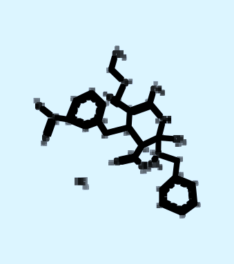 CCOC(=O)C1=C(C)NC(C)(N(C)Cc2ccccc2)C(C(=O)O)C1Cc1cccc([N+](=O)[O-])c1.Cl